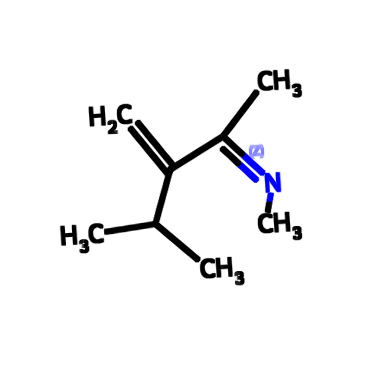 C=C(/C(C)=N\C)C(C)C